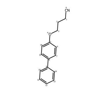 N#CCCCOc1ccc(-c2ccccc2)cc1